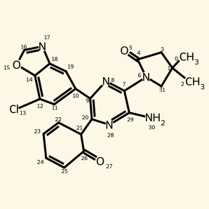 CC1(C)CC(=O)N(c2nc(-c3cc(Cl)c4ocnc4c3)c(C3C=CC=CC3=O)nc2N)C1